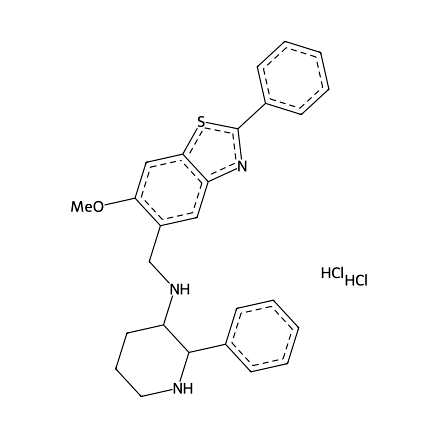 COc1cc2sc(-c3ccccc3)nc2cc1CNC1CCCNC1c1ccccc1.Cl.Cl